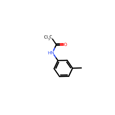 Cc1cccc(NC(=O)C(Cl)(Cl)Cl)c1